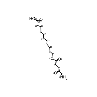 NCC(=O)CCC(=O)OCCCCCCCCCCC(=O)O